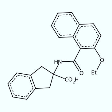 CCOc1ccc2ccccc2c1C(=O)NC1(C(=O)O)Cc2ccccc2C1